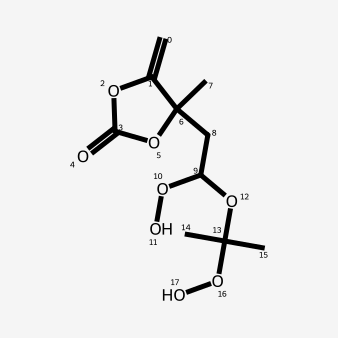 C=C1OC(=O)OC1(C)CC(OO)OC(C)(C)OO